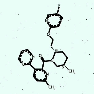 Cc1ccc(-c2ncccn2)c(C(=O)N2C[C@@H](C)CC[C@H]2CCOc2ccc(F)cn2)n1